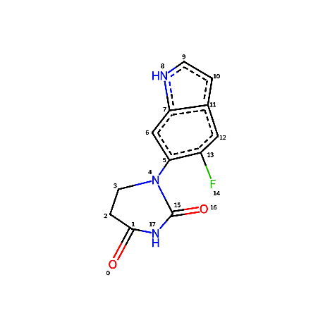 O=C1CCN(c2cc3[nH]ccc3cc2F)C(=O)N1